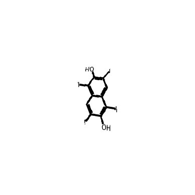 Oc1c(I)cc2c(I)c(O)c(I)cc2c1I